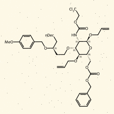 C=CCO[C@H]1O[C@H](COC(=O)OCc2ccccc2)[C@@H](OCC=C)[C@H](OCC[C@H](CCCCCCCCCCC)OCc2ccc(OC)cc2)[C@@H]1NC(=O)OCC(Cl)(Cl)Cl